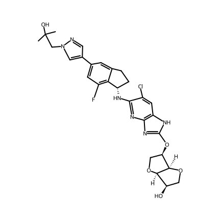 CC(C)(O)Cn1cc(-c2cc(F)c3c(c2)CC[C@@H]3Nc2nc3nc(O[C@@H]4CO[C@H]5[C@@H]4OC[C@H]5O)[nH]c3cc2Cl)cn1